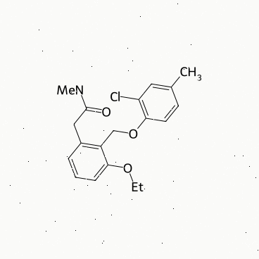 CCOc1cccc(CC(=O)NC)c1COc1ccc(C)cc1Cl